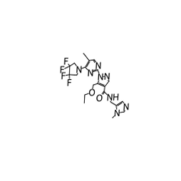 CCOCc1c(C(=O)NCc2cncn2C)cnn1-c1ncc(C)c(N2CC(F)(F)C(F)(F)C2)n1